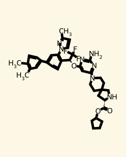 Cc1ccn(-c2cc(-c3ccc(C)c(C)c3)ccc2[C@@H](Oc2cc(N3CCC4(CC3)CN[C@H](C(=O)OC3CCCC3)C4)nc(N)n2)C(F)(F)F)n1